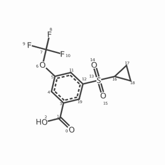 O=C(O)c1cc(OC(F)(F)F)cc(S(=O)(=O)C2CC2)c1